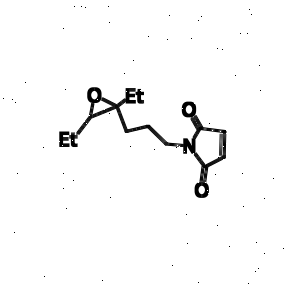 CCC1OC1(CC)CCCN1C(=O)C=CC1=O